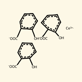 O=C([O-])c1ccccc1O.O=C([O-])c1ccccc1O.O=C([O-])c1ccccc1O.[Ce+3]